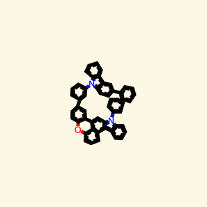 c1ccc(-c2ccc3c(c2)c2ccccc2n3-c2cccc(-c3ccc4c(c3)-c3cc5c(c6cccc(c36)O4)c3ccccc3n5-c3ccccc3)c2)cc1